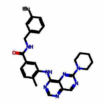 Cc1ccc(C(=O)NCc2cccc(C(C)(C)C)c2)cc1Nc1ncnc2cnc(N3CCCCC3)nc12